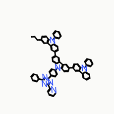 CCCc1ccc2c(c1)c1cc(-c3ccc4c(c3)c3cc(-c5ccc6c(c5)c5ccccc5n6-c5ccccc5)ccc3n4-c3ccc(-c4nc(-c5ccccc5)nc(-c5ccccn5)n4)cc3)ccc1n2-c1ccccc1